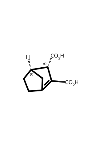 O=C(O)C1=C2CC[C@H](C2)[C@@H]1C(=O)O